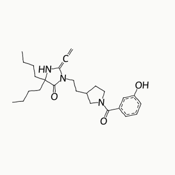 C=C=C1NC(CCCC)(CCCC)C(=O)N1CCC1CCN(C(=O)c2cccc(O)c2)C1